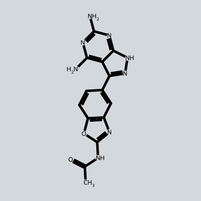 CC(=O)Nc1nc2cc(-c3n[nH]c4nc(N)nc(N)c34)ccc2o1